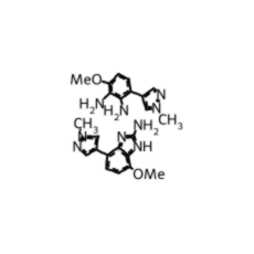 COc1ccc(-c2cnn(C)c2)c(N)c1N.COc1ccc(-c2cnn(C)c2)c2nc(N)[nH]c12